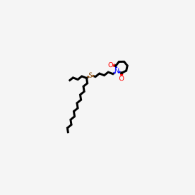 CCCCCCCCCCCCCC(CCCC)SCCCCCN1C(=O)CCCCC1=O